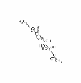 C=CC(=O)OCCCC(O)C(O)CC(O)C(O)COc1ccc2cc(-c3oc(CCCCC)cc3C(F)(F)F)oc2c1